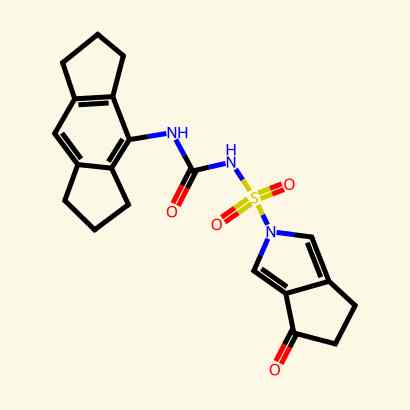 O=C(Nc1c2c(cc3c1CCC3)CCC2)NS(=O)(=O)n1cc2c(c1)C(=O)CC2